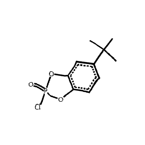 CC(C)(C)c1ccc2c(c1)OP(=O)(Cl)O2